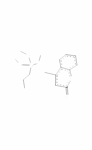 CCC[Si](OC)(OC)OC.Cc1cc(=O)oc2ccccc12